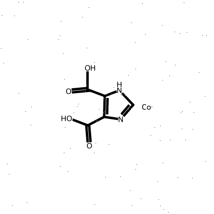 O=C(O)c1nc[nH]c1C(=O)O.[Co]